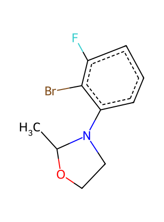 CC1OCCN1c1cccc(F)c1Br